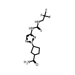 NC(=O)C1CCC(n2ncc(NC(=S)NCC(F)(F)F)n2)C1